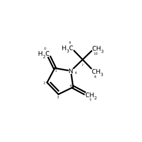 C=c1ccc(=C)n1C(C)(C)C